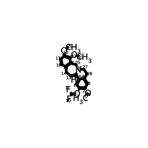 COc1cc2c(cc1OC(F)F)[C@@H]1CCc3ccc(OC)c(OC)c3CN1CC2